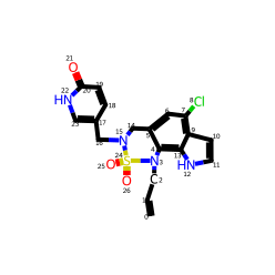 C=CCN1c2c(cc(Cl)c3cc[nH]c23)CN(Cc2ccc(=O)[nH]c2)S1(=O)=O